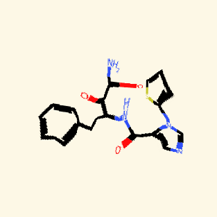 NC(=O)C(=O)C(Cc1ccccc1)NC(=O)c1cncn1-c1cccs1